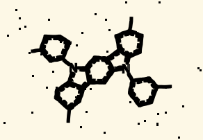 Cc1cccc(-n2c3ccc(C)cc3c3cc4c(cc32)c2cc(C)ccc2n4-c2cccc(C)c2)c1